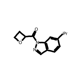 CC(C)c1ccc2cnn(C(=O)C3CCO3)c2c1